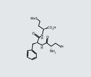 CSCC[C@H](NC(=O)[C@H](Cc1ccccc1)NC(=O)[C@@H](N)CC(C)C)C(=O)O